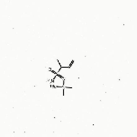 C=CC(C)S(N)(=O)=N[Si](C)(C)C(C)(C)C